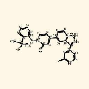 Cc1cc(-c2n[nH]c3ccc(-c4ccn(Cc5cccnc5C(F)(F)F)c(=O)c4)cc23)ccn1